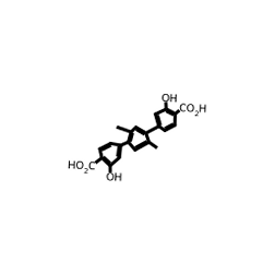 Cc1cc(-c2ccc(C(=O)O)c(O)c2)c(C)cc1-c1ccc(C(=O)O)c(O)c1